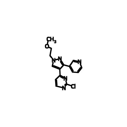 COCCn1cc(-c2ccnc(Cl)n2)c(-c2cccnc2)n1